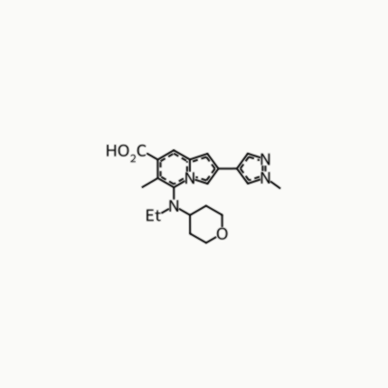 CCN(c1c(C)c(C(=O)O)cc2cc(-c3cnn(C)c3)cn12)C1CCOCC1